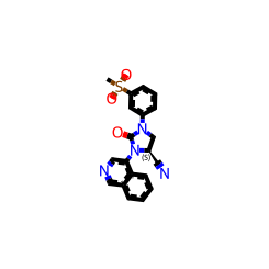 CS(=O)(=O)c1cccc(N2C[C@@H](C#N)N(c3cncc4ccccc34)C2=O)c1